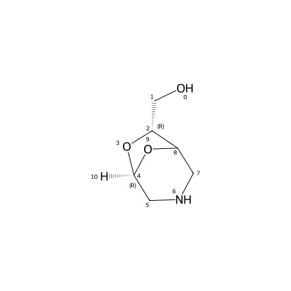 OC[C@H]1O[C@@H]2CNCC1O2